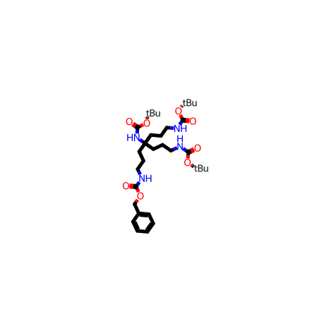 CC(C)(C)OC(=O)NCCCC(CCCNC(=O)OCc1ccccc1)(CCCNC(=O)OC(C)(C)C)NC(=O)OC(C)(C)C